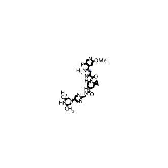 COc1cc(/C(N)=C/C(=N)C(=O)N2CC[C@H](C(=O)NCc3ncc(N4CC(C)NC(C)C4)cn3)CC23CC3)c(F)cn1